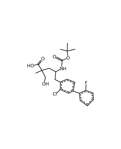 CC(C)(C)OC(=O)NC(Cc1ccc(-c2ccccc2F)cc1Cl)CC(C)(CO)C(=O)O